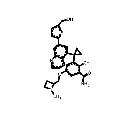 Cc1c(C(N)=O)cc(OCC2CCN2C)cc1C1(c2cc(-c3ccc(CO)s3)cc3ncccc23)CC1